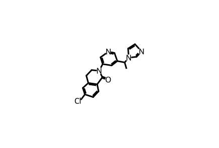 CC(c1cncc(N2CCc3cc(Cl)ccc3C2=O)c1)n1ccnc1